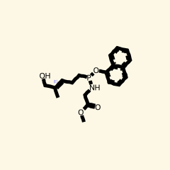 COC(=O)CNP(CC/C=C(\C)CO)Oc1cccc2ccccc12